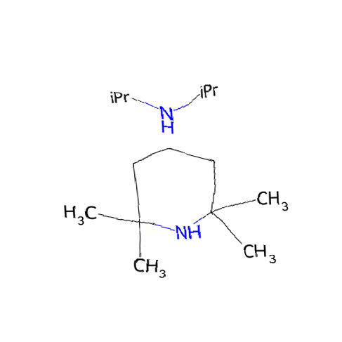 CC(C)NC(C)C.CC1(C)CCCC(C)(C)N1